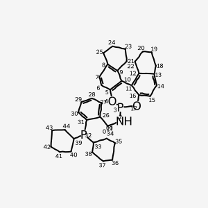 C[C@@H](Np1oc2ccc3c(c2c2c4c(ccc2o1)CCCC4)CCCC3)c1ccccc1P(C1CCCCC1)C1CCCCC1